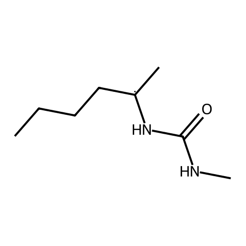 CCCC[C](C)NC(=O)NC